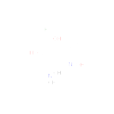 CN(C)CCCC(O)(c1ccc(F)cc1)c1ccc(C=NO)c(Cc2ccccc2)c1CO